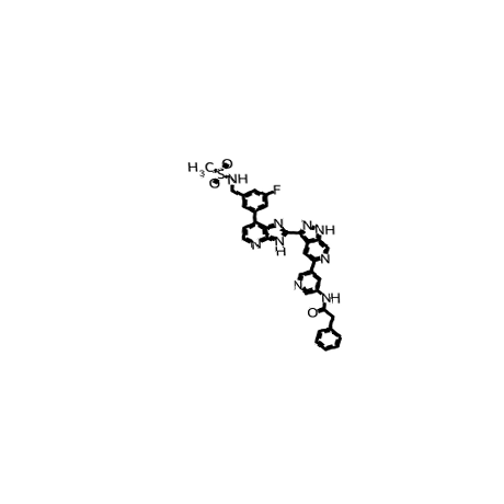 CS(=O)(=O)NCc1cc(F)cc(-c2ccnc3[nH]c(-c4n[nH]c5cnc(-c6cncc(NC(=O)Cc7ccccc7)c6)cc45)nc23)c1